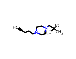 C#CCCCN1CCN(CC(C)(C)CC)CC1